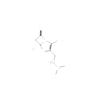 CN(C)NCC1=C(C(=O)O)N2C(=O)C[C@@H]2S1